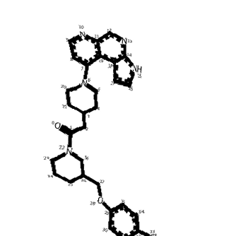 O=C(CC1CCN(c2ccnc3cnc4[nH]ccc4c23)CC1)N1CCCC(COc2ccc(Cl)cc2)C1